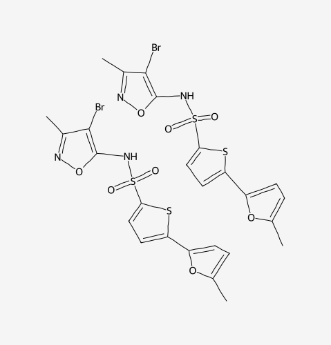 Cc1ccc(-c2ccc(S(=O)(=O)Nc3onc(C)c3Br)s2)o1.Cc1ccc(-c2ccc(S(=O)(=O)Nc3onc(C)c3Br)s2)o1